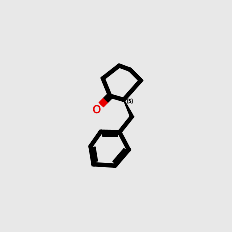 O=C1CCCC[C@H]1Cc1ccccc1